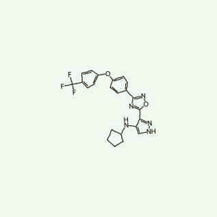 FC(F)(F)c1ccc(Oc2ccc(-c3noc(-c4n[nH]cc4NC4CCCC4)n3)cc2)cc1